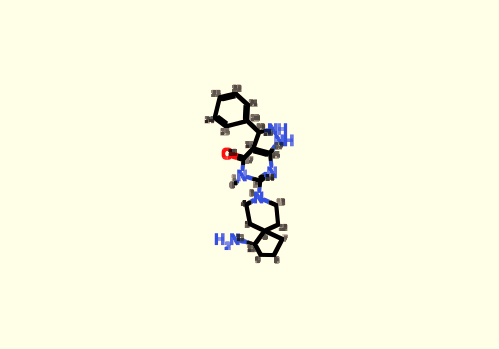 Cn1c(N2CCC3(CCC[C@H]3N)CC2)nc2c(c1=O)C(c1ccccc1)NN2